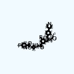 C[C@@H]1C(=O)N(C)c2cc(-c3ccncc3)ccc2C(=O)N1Cc1cc(F)cc(C(=O)NC[C@H]2C[C@@H](OC(=O)c3ccc(F)cn3)C2)c1